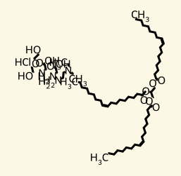 CCCCCCCC/C=C\CCCCCCCC(=O)OCC(COC(=O)CCCCCCC/C=C\CCCCCCCC)OC(=O)CCCCCCC/C=C\CCCCCCCC.CCN(CC)CCN.Cl.NCC(=O)O.NCC(=O)O.OCCOCCO